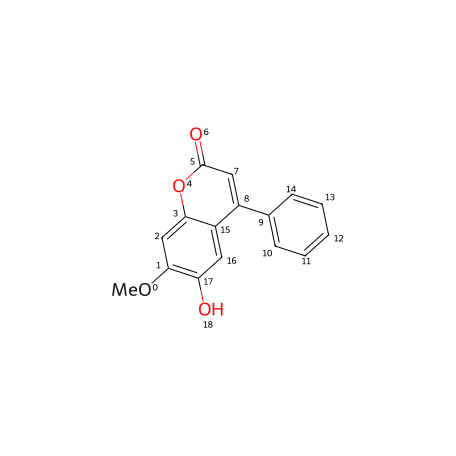 COc1cc2oc(=O)cc(-c3ccccc3)c2cc1O